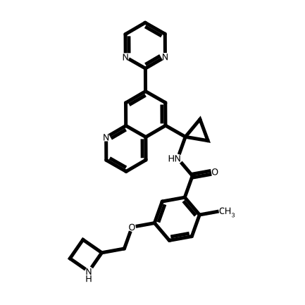 Cc1ccc(OCC2CCN2)cc1C(=O)NC1(c2cc(-c3ncccn3)cc3ncccc23)CC1